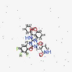 O=c1[nH]cccc1Cn1c(=O)nc(NC(c2ccccc2)c2ccccc2O)n(Cc2cc(F)c(F)c(F)c2)c1=O